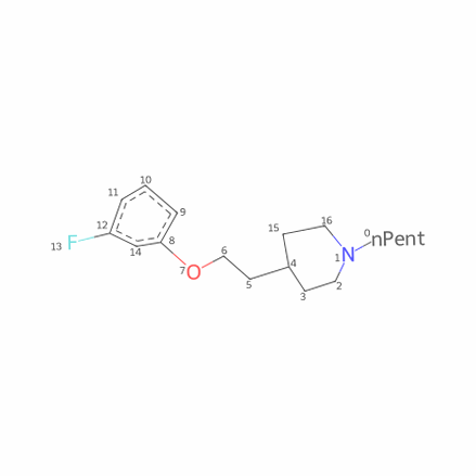 CCCCCN1CCC(CCOc2cccc(F)c2)CC1